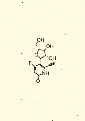 C#Cc1[nH]c(=O)cc(F)c1[C@@H]1O[C@H](CO)C(O)[C@@H]1O